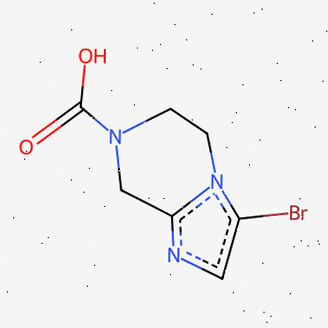 O=C(O)N1CCn2c(Br)cnc2C1